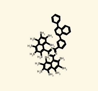 Bc1c(B)c(B)c2c(-c3nc(-c4cccc(-c5ccc(-c6ccccc6)c6ccccc56)c4)nc(-c4c(B)c(B)c(B)c5c(B)c(B)c(B)c(B)c45)n3)c(B)c(B)c(B)c2c1B